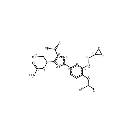 CC(C)(C)CC(OC(N)=O)c1oc(-c2ccc(OC(F)F)c(OCC3CC3)c2)nc1C(=O)F